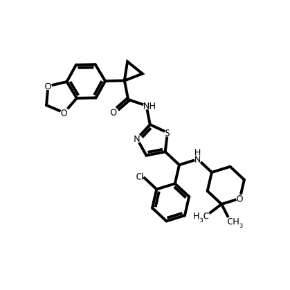 CC1(C)CC(NC(c2cnc(NC(=O)C3(c4ccc5c(c4)OCO5)CC3)s2)c2ccccc2Cl)CCO1